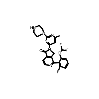 Cc1cc(N2Cc3c(ccnc3-c3c(F)cccc3OC(F)F)C2=O)nc(N2CCNCC2)n1